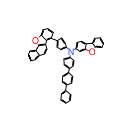 c1ccc(-c2ccc(-c3ccc(N(c4ccc(-c5cccc6oc7c8ccccc8ccc7c56)cc4)c4ccc5c(c4)oc4ccccc45)cc3)cc2)cc1